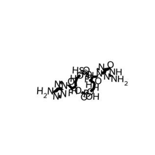 Nc1nc2c(ncn2[C@@H]2O[C@@H]3COP(=O)(O)CO[C@H]4[C@@H](F)[C@H](n5cnc6c(N)ncnc65)O[C@@H]4COP(=O)(S)O[C@@H]2[C@@H]3F)c(=O)[nH]1